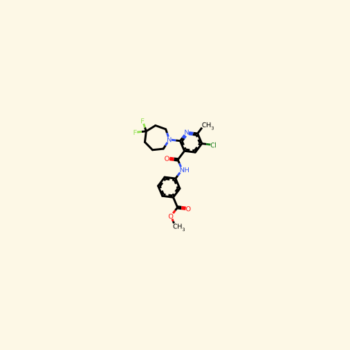 COC(=O)c1cccc(NC(=O)c2cc(Cl)c(C)nc2N2CCCC(F)(F)CC2)c1